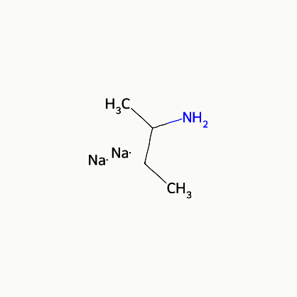 CCC(C)N.[Na].[Na]